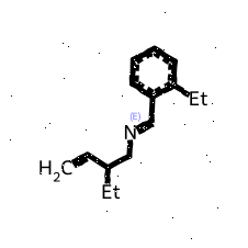 C=CC(CC)C/N=C/c1ccccc1CC